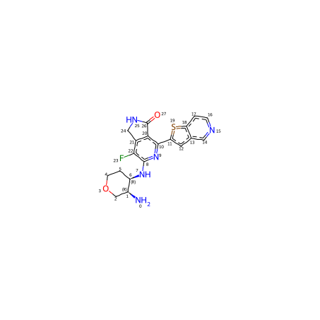 N[C@H]1COCC[C@H]1Nc1nc(-c2cc3cnccc3s2)c2c(c1F)CNC2=O